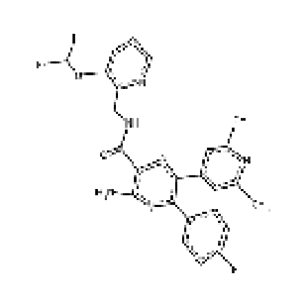 Cc1cc(-c2nc(C(=O)NCc3ncccc3OC(F)F)c(N)nc2-c2ccc(F)cc2)cc(C)n1